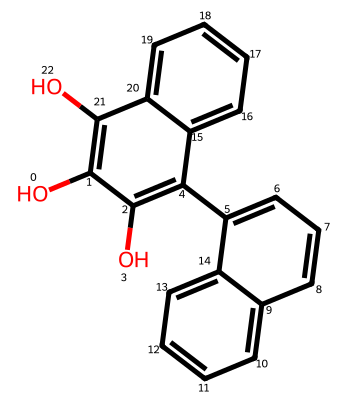 Oc1c(O)c(-c2cccc3ccccc23)c2ccccc2c1O